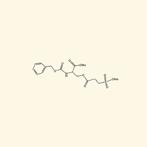 COC(=O)C(COC(=O)CCS(=O)(=O)OC)NC(=O)OCc1ccccc1